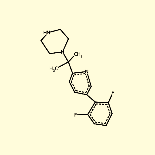 CC(C)(c1ccc(-c2c(F)cccc2F)cn1)N1CCNCC1